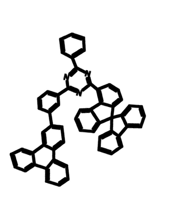 c1ccc(-c2nc(-c3cccc(-c4ccc5c6ccccc6c6ccccc6c5c4)c3)nc(-c3cccc4c3-c3ccccc3C43c4ccccc4-c4ccccc43)n2)cc1